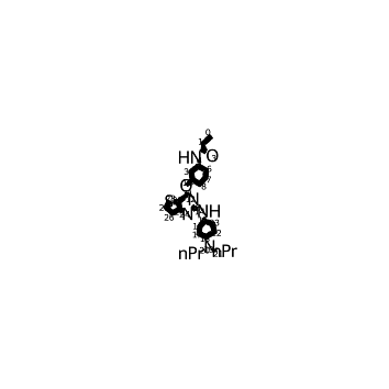 C=CC(=O)Nc1cccc(Oc2nc(Nc3ccc(N(CCC)CCC)cc3)nc3ccsc23)c1